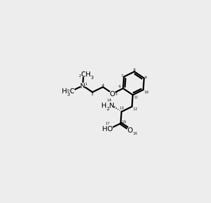 CN(C)CCOc1ccccc1C[C@@H](N)C(=O)O